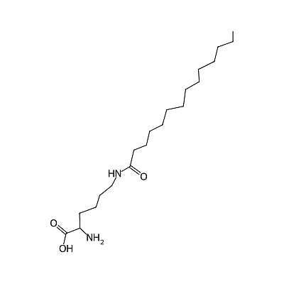 CCCCCCCCCCCCCC(=O)NCCCCC(N)C(=O)O